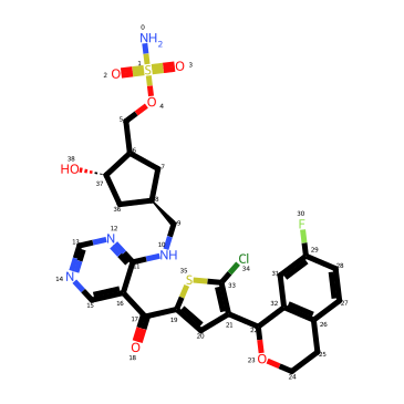 NS(=O)(=O)OCC1C[C@@H](CNc2ncncc2C(=O)c2cc(C3OCCc4ccc(F)cc43)c(Cl)s2)C[C@@H]1O